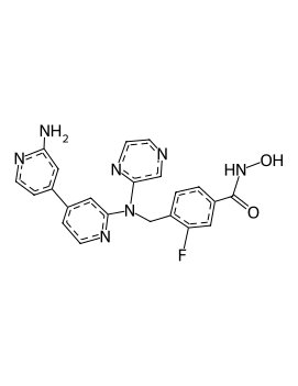 Nc1cc(-c2ccnc(N(Cc3ccc(C(=O)NO)cc3F)c3cnccn3)c2)ccn1